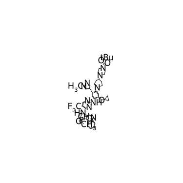 Cn1cc(-c2cc(Nc3ncc(C(F)(F)F)c(Nc4cnc5ccccc5c4P(C)(C)=O)n3)c(OC3CC3)cc2N2CCC(N3CCN(C(=O)OC(C)(C)C)CC3)CC2)cn1